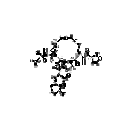 CCc1nc2cccc(F)c2nc1O[C@@H]1C[C@H]2C(=O)N[C@]3(C(=O)NS(=O)(=O)C4CC4)C[C@H]3C=CCCCCC[C@H](NC(=O)c3ccon3)C(=O)N2C1